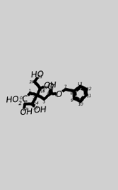 O=C(O)CC(CC(=O)OCc1ccccc1)(C(O)CO)C(O)CO